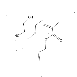 C=CCOC(=O)C(=C)C.CCOCC.OCCO